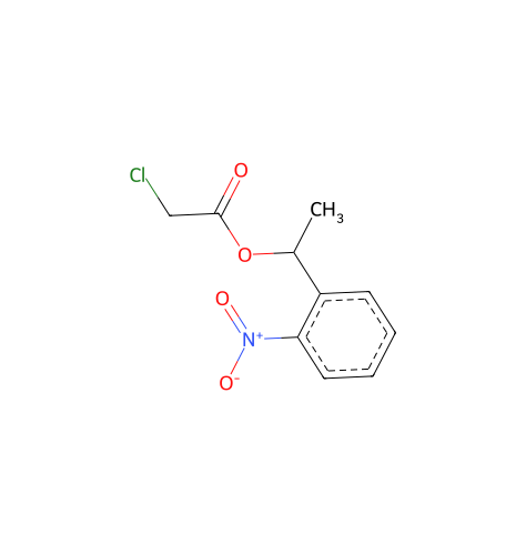 CC(OC(=O)CCl)c1ccccc1[N+](=O)[O-]